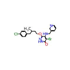 CC(CCOc1n[nH]c(=O)c(Br)c1NCc1cccnc1)Cc1ccc(Cl)cc1